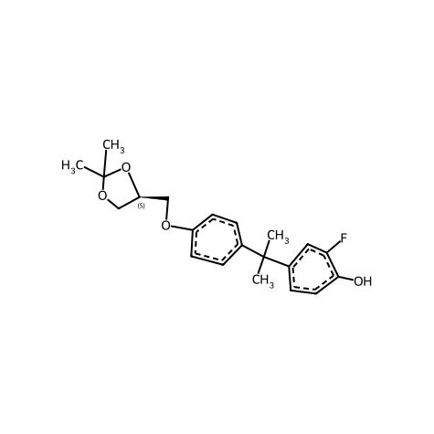 CC1(C)OC[C@H](COc2ccc(C(C)(C)c3ccc(O)c(F)c3)cc2)O1